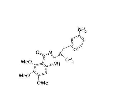 COc1cc2[nH]c(N(C)Cc3cccc(N)c3)nc(=O)c2c(OC)c1OC